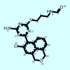 Nc1nc(SCCCNC=O)nc(-c2c(Cl)cc3c4c(cccc24)COC3)n1